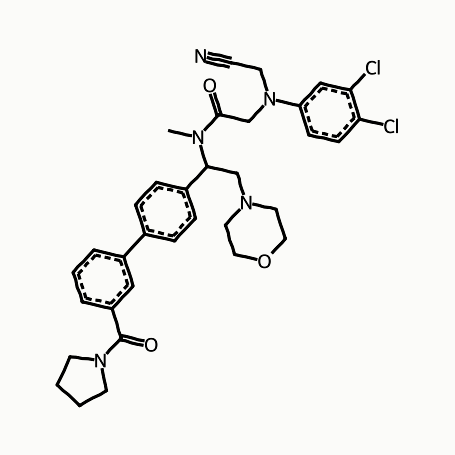 CN(C(=O)CN(CC#N)c1ccc(Cl)c(Cl)c1)C(CN1CCOCC1)c1ccc(-c2cccc(C(=O)N3CCCC3)c2)cc1